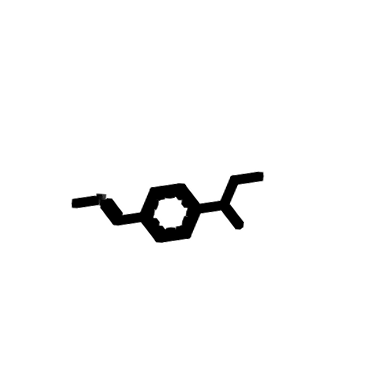 CCC(C)c1ccc(/C=N/C)cc1